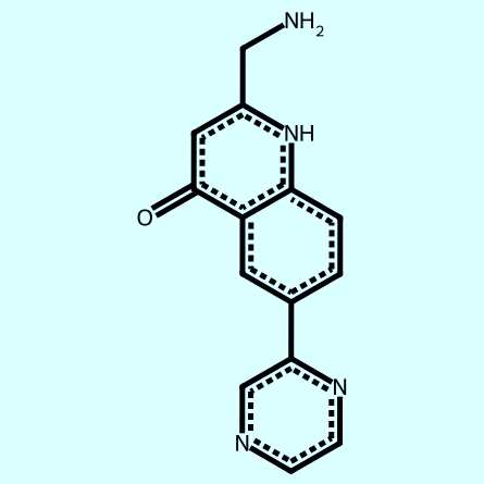 NCc1cc(=O)c2cc(-c3cnccn3)ccc2[nH]1